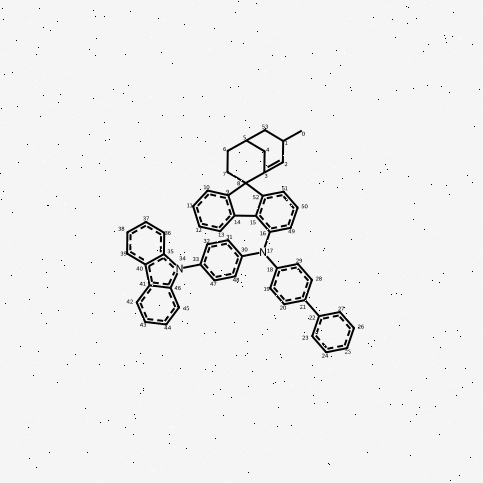 CC1C=C2CC(CCC23c2ccccc2-c2c(N(c4ccc(-c5ccccc5)cc4)c4ccc(-n5c6ccccc6c6ccccc65)cc4)cccc23)C1